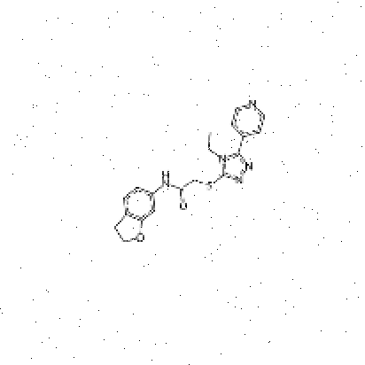 CCn1c(SCC(=O)Nc2ccc3c(c2)OCC3)nnc1-c1ccncc1